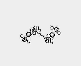 C[Si](C)(CCCCCC[Si](C)(C)Oc1ccc(N2C(=O)C=CC2=O)cc1)Oc1ccc(N2C(=O)C=CC2=O)cc1